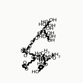 CC(C)[C@H](NC(=O)[C@H](CCCCNC(=O)c1cnnn1CCOCCOCCOCCOCCN(C[C@H](O)[C@@H](O)[C@H](O)[C@H](O)CO)C[C@H](O)[C@@H](O)[C@H](O)[C@H](O)CO)NC(=O)CCCCCN1C(=O)C=CC1=O)C(=O)N[C@@H](CCCNC(N)=O)C(=O)Nc1ccc(CO)cc1